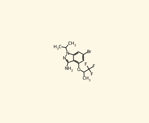 CC(C)n1nc(N)c2c(OC(C)C(F)(F)F)cc(Br)cc21